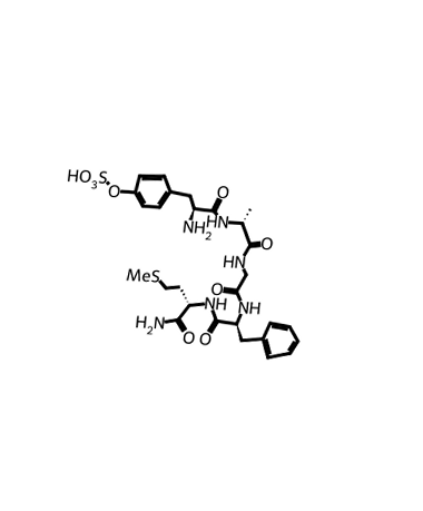 CSCC[C@H](NC(=O)[C@H](Cc1ccccc1)NC(=O)CNC(=O)[C@@H](C)NC(=O)[C@@H](N)Cc1ccc(OS(=O)(=O)O)cc1)C(N)=O